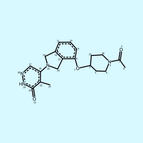 CC(=O)N1CCC(Oc2cccc3c2CN(c2cn[nH]c(=O)c2C)C3)CC1